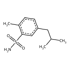 Cc1ccc(CC(C)C)cc1S(N)(=O)=O